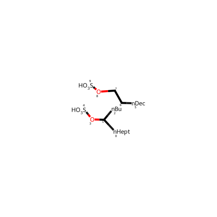 CCCCCCCC(CCCC)OS(=O)(=O)O.CCCCCCCCCCCCOS(=O)(=O)O